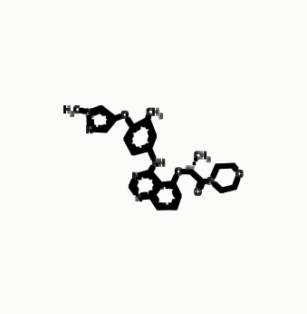 Cc1cc(Nc2ncnc3cccc(O[C@H](C)C(=O)N4CCOCC4)c23)ccc1Oc1cnn(C)c1